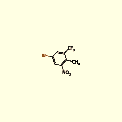 Cc1c([N+](=O)[O-])cc(Br)cc1C(F)(F)F